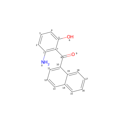 Nc1cccc(O)c1C(=O)c1cccc2ccccc12